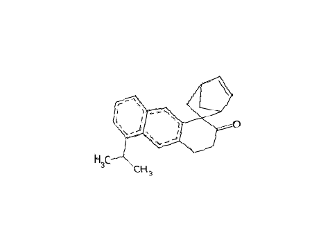 CC(C)c1cccc2cc3c(cc12)CCC(=O)C31CC2C=CC1C2